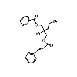 CC(C)CCC(COC(=O)C=Cc1ccccc1)(COC(=O)c1ccccc1)C(C)C